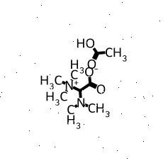 CC(=O)O.CN(C)C(C(=O)[O-])[N+](C)(C)C